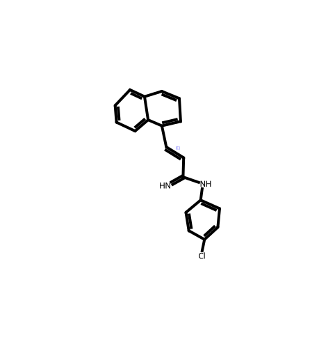 N=C(/C=C/c1cccc2ccccc12)Nc1ccc(Cl)cc1